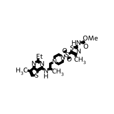 CCc1nc(NC(C)CN2CCN(S(=O)(=O)c3sc(NC(=O)OC)nc3C)CC2)c2scc(C)c2n1